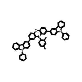 Cc1ccc(N2c3cc(-c4ccc5c(c4)c4ccccc4n5-c4ccccc4)ccc3Oc3ccc(-c4ccc5c(c4)c4ccccc4n5-c4ccccc4)cc32)c(C)c1